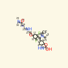 C[C@@H]1Cc2c(ccc3c2OC(O)N3)[C@@H](c2c(F)cc(OCCNC/C=C/C(=O)N(C)C)cc2F)N1CC(F)(F)F